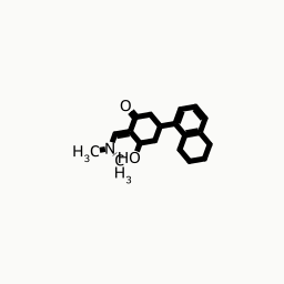 CN(C)/C=C1/C(=O)CC(c2cccc3c2CCCC3)CC1O